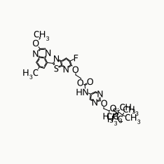 CCOc1cnc2c(-c3nc4cc(F)c(OCCOC(=O)Nc5cnc(OCC(C)O[Si](C)(C)C(C)(C)C)nc5)nc4s3)cc(C)cc2n1